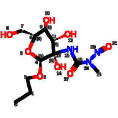 CCCO[C@H]1O[C@H](CO)[C@@H](O)[C@H](O)[C@@]1(O)NC(=O)N(C)N=O